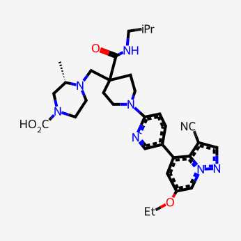 CCOc1cc(-c2ccc(N3CCC(CN4CCN(C(=O)O)C[C@@H]4C)(C(=O)NCC(C)C)CC3)nc2)c2c(C#N)cnn2c1